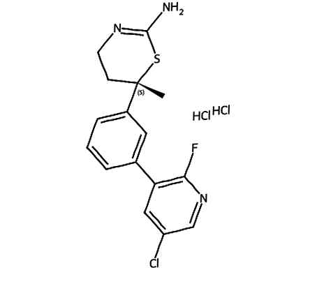 C[C@@]1(c2cccc(-c3cc(Cl)cnc3F)c2)CCN=C(N)S1.Cl.Cl